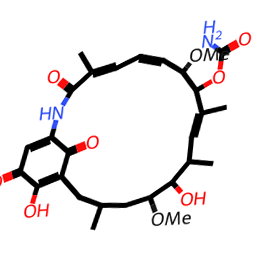 COC1/C=C\C=C(/C)C(=O)NC2=CC(=O)C(O)=C(CC(C)CC(OC)C(O)C(C)/C=C(\C)C1OC(N)=O)C2=O